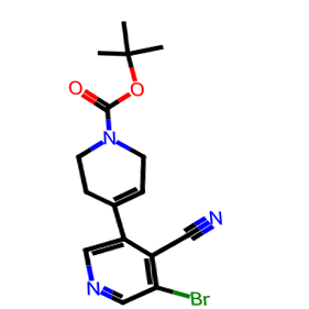 CC(C)(C)OC(=O)N1CC=C(c2cncc(Br)c2C#N)CC1